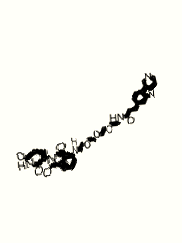 O=C(CCc1ccc2c(c1)=NC1=CC=NCC=21)NCCOCCOCCOCCNc1cccc2c1C(=O)N(C1CCC(=O)NC1=O)C2=O